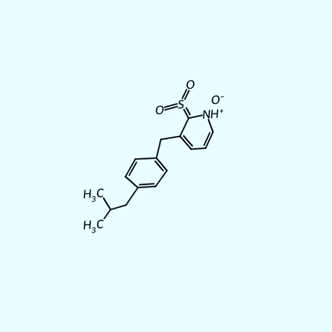 CC(C)Cc1ccc(CC2=CC=C[NH+]([O-])C2=S(=O)=O)cc1